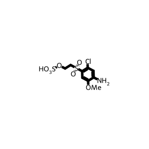 COc1cc(S(=O)(=O)CCOS(=O)(=O)O)c(Cl)cc1N